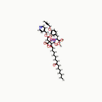 CC#CCOc1ccc(C[C@H](NC(=O)[C@@H](/C=C/CCCCCCC(=O)CCCCCCC)[C@@](O)(CC(=O)OCc2ccncc2)C(=O)O)C(=O)OC)cc1